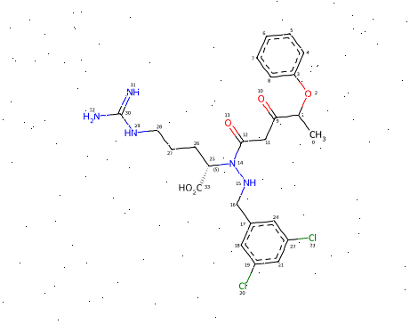 CC(Oc1ccccc1)C(=O)CC(=O)N(NCc1cc(Cl)cc(Cl)c1)[C@@H](CCCNC(=N)N)C(=O)O